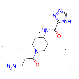 NCCC(=O)N1CCC(NC(=O)c2nnc[nH]2)CC1